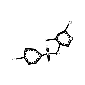 CC(C)c1ccc(S(=O)(=O)Nc2cnc(Cl)cc2I)cc1